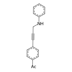 CC(=O)c1ccc(C#CCNc2ccccc2)cc1